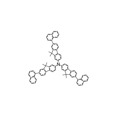 CC1(C)c2cc(-c3cccc4ccccc34)ccc2-c2ccc(N(c3ccc4c(c3)C(C)(C)c3cc(-c5cccc6ccccc56)ccc3-4)c3ccc4c(c3)C(C)(C)c3cc(-c5cccc6ccccc56)ccc3-4)cc21